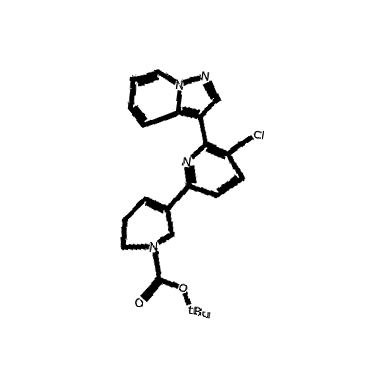 CC(C)(C)OC(=O)N1CCC=C(c2ccc(Cl)c(-c3cnn4ccccc34)n2)C1